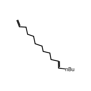 [CH2]CCCC=CCCCCCCCCC=C